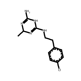 CC1N=C(N)NC(NCCc2ccc(Cl)cc2)=N1